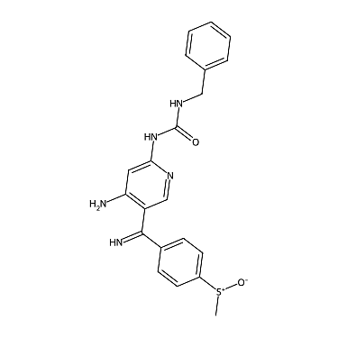 C[S+]([O-])c1ccc(C(=N)c2cnc(NC(=O)NCc3ccccc3)cc2N)cc1